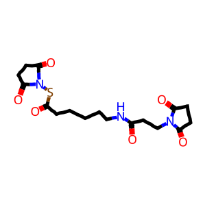 O=C(CCN1C(=O)CCC1=O)NCCCCCC(=O)SN1C(=O)CCC1=O